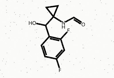 O=CNC1(C(O)c2ccc(F)cc2F)CC1